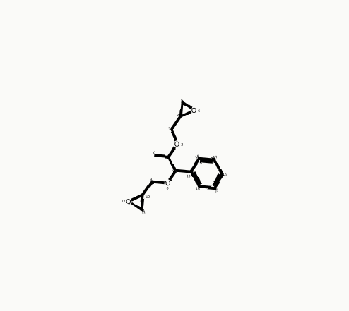 CC(OCC1CO1)C(OCC1CO1)c1ccccc1